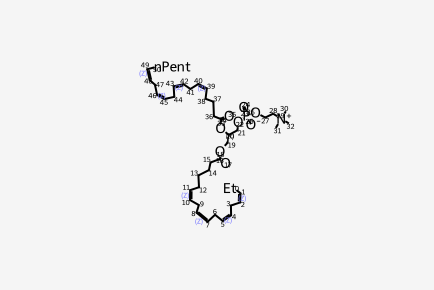 CC/C=C\C/C=C\C/C=C\C/C=C\CCCCC(=O)OC[C@H](COP(=O)([O-])OCC[N+](C)(C)C)OC(=O)CCC/C=C\C/C=C\C/C=C\C/C=C\CCCCC